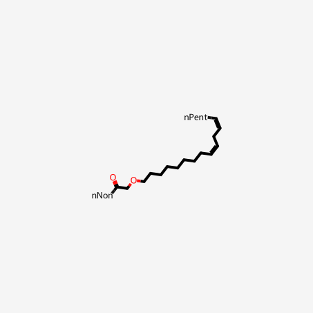 CCCCC/C=C\C/C=C\CCCCCCCCOCC(=O)CCCCCCCCC